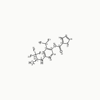 C[C@H](Nc1cc(C(F)F)c(OC(=O)c2nccs2)cn1)C(F)(F)F